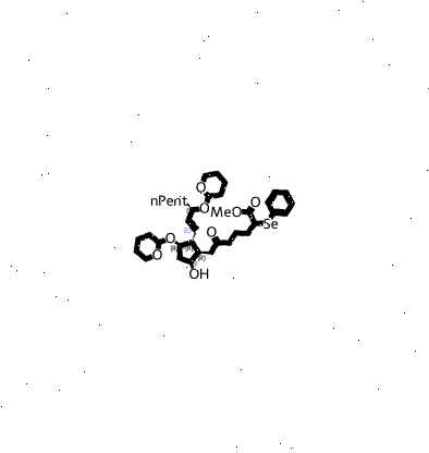 CCCCC[C@@H](/C=C/[C@@H]1[C@@H](CC(=O)CCCC([Se]c2ccccc2)C(=O)OC)[C@@H](O)C[C@H]1OC1CCCCO1)OC1CCCCO1